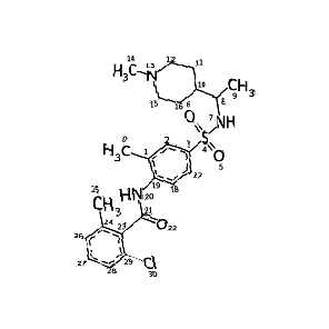 Cc1cc(S(=O)(=O)NC(C)C2CCN(C)CC2)ccc1NC(=O)c1c(C)cccc1Cl